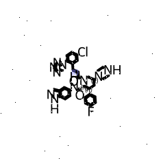 O=C(Nc1ccc2[nH]ncc2c1)[C@H]1[C@@H](c2ccc(F)cc2)C[C@@H](N2CCNCC2)CN1C(=O)/C=C/c1cc(Cl)ccc1-n1cnnn1